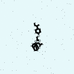 CCC(C)c1ccc(OCC(=O)OC2(CC(C)C)C3CC4CC(C3)CC2C4)cc1